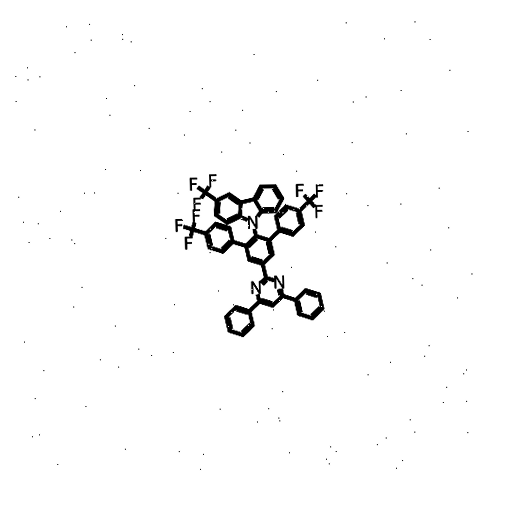 FC(F)(F)c1ccc(-c2cc(-c3nc(-c4ccccc4)cc(-c4ccccc4)n3)cc(-c3ccc(C(F)(F)F)cc3)c2-n2c3ccccc3c3cc(C(F)(F)F)ccc32)cc1